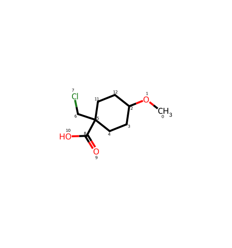 COC1CCC(CCl)(C(=O)O)CC1